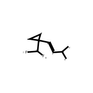 CC(C)C=CC1(C(F)F)CC1